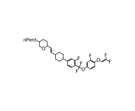 CCCCCC1CCC(/C=C/C2CCC(c3ccc(C(F)(F)Oc4ccc(OC=C(F)F)c(F)c4)c(F)c3)CC2)OC1